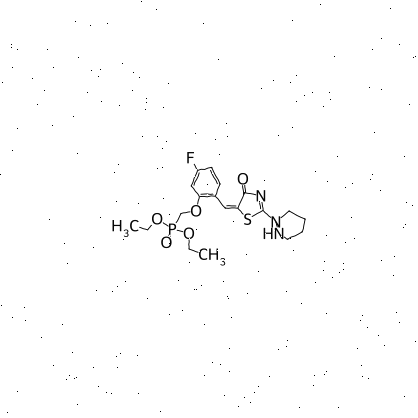 CCOP(=O)(COc1cc(F)ccc1C=C1SC(N2CCCCN2)=NC1=O)OCC